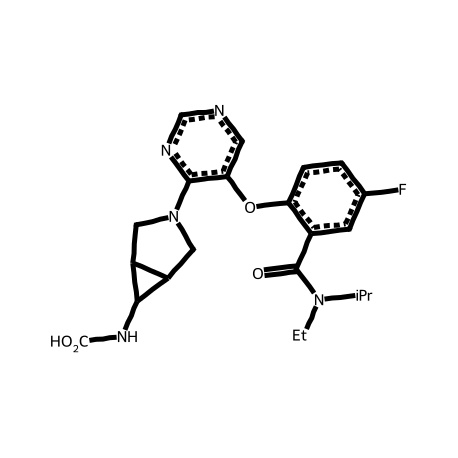 CCN(C(=O)c1cc(F)ccc1Oc1cncnc1N1CC2C(C1)C2NC(=O)O)C(C)C